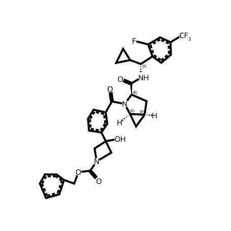 O=C(N[C@@H](c1ccc(C(F)(F)F)cc1F)C1CC1)[C@H]1C[C@H]2C[C@H]2N1C(=O)c1cccc(C2(O)CN(C(=O)OCc3ccccc3)C2)c1